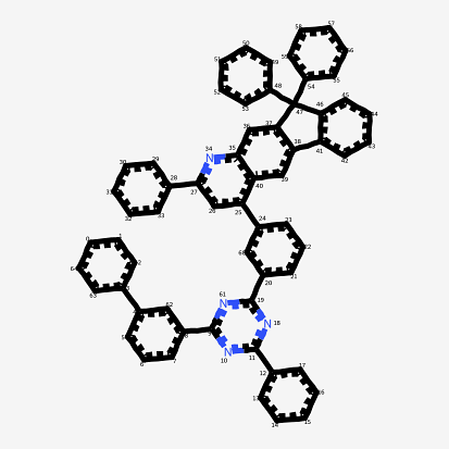 c1ccc(-c2cccc(-c3nc(-c4ccccc4)nc(-c4cccc(-c5cc(-c6ccccc6)nc6cc7c(cc56)-c5ccccc5C7(c5ccccc5)c5ccccc5)c4)n3)c2)cc1